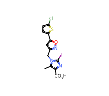 Cc1c(C(=O)O)nc(I)n1Cc1cc(-c2ccc(Cl)s2)on1